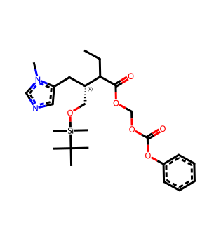 CCC(C(=O)OCOC(=O)Oc1ccccc1)[C@H](CO[Si](C)(C)C(C)(C)C)Cc1cncn1C